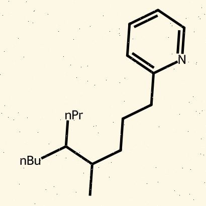 CCCCC(CCC)C(C)CCCc1ccccn1